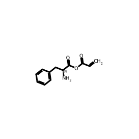 C=CC(=O)OC(=O)[C@@H](N)Cc1ccccc1